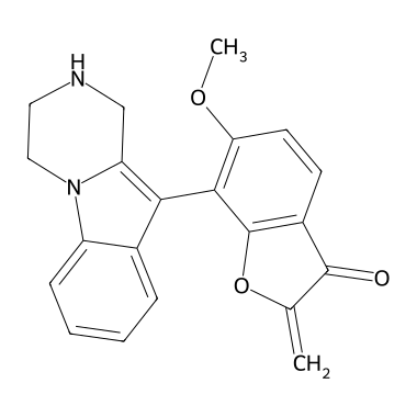 C=C1Oc2c(ccc(OC)c2-c2c3n(c4ccccc24)CCNC3)C1=O